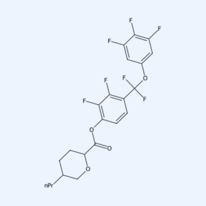 CCCC1CCC(C(=O)Oc2ccc(C(F)(F)Oc3cc(F)c(F)c(F)c3)c(F)c2F)OC1